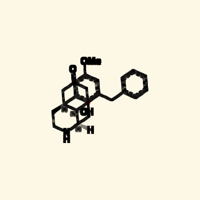 COc1cc(Cc2ccccc2)c2c(c1)[C@]13CCN[C@H](C2)[C@]1(O)CCC(=O)C3